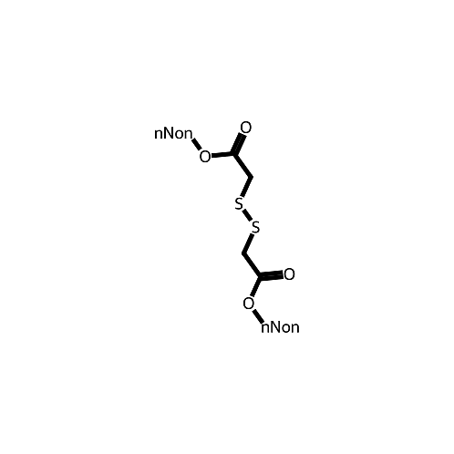 CCCCCCCCCOC(=O)CSSCC(=O)OCCCCCCCCC